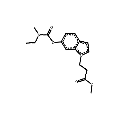 CCN(C)C(=O)Oc1ccc2ccn(CCC(=O)OC)c2c1